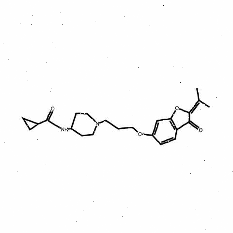 CC(C)=C1Oc2cc(OCCCN3CCC(NC(=O)C4CC4)CC3)ccc2C1=O